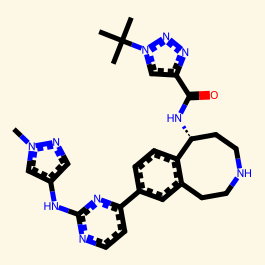 Cn1cc(Nc2nccc(-c3ccc4c(c3)CCNCC[C@H]4NC(=O)c3cn(C(C)(C)C)nn3)n2)cn1